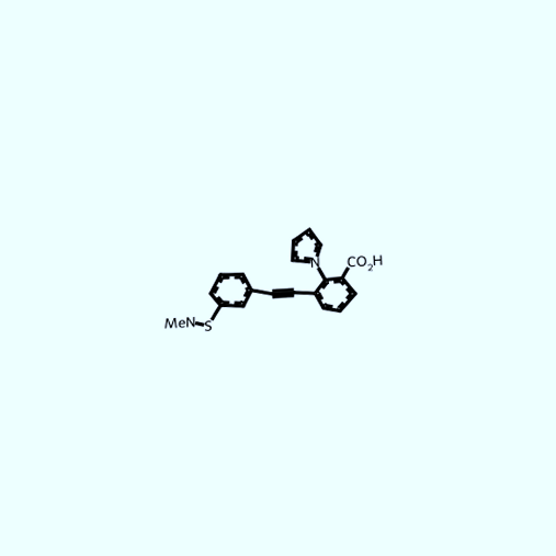 CNSc1cccc(C#Cc2cccc(C(=O)O)c2-n2cccc2)c1